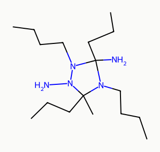 CCCCN1N(N)C(C)(CCC)N(CCCC)C1(N)CCC